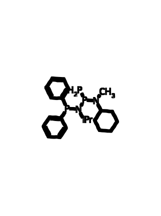 CC(C)N(P(c1ccccc1)c1ccccc1)P(P)N(C)C1CCCCC1